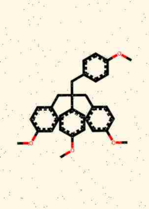 COc1ccc(CC(Cc2ccc(OC)cc2)(Cc2ccc(OC)cc2)c2ccc(OC)cc2)cc1